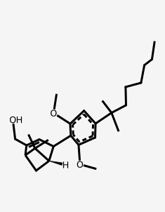 CCCCCCC(C)(C)c1cc(OC)c(C2C=C(CO)C3C[C@@H]2C3(C)C)c(OC)c1